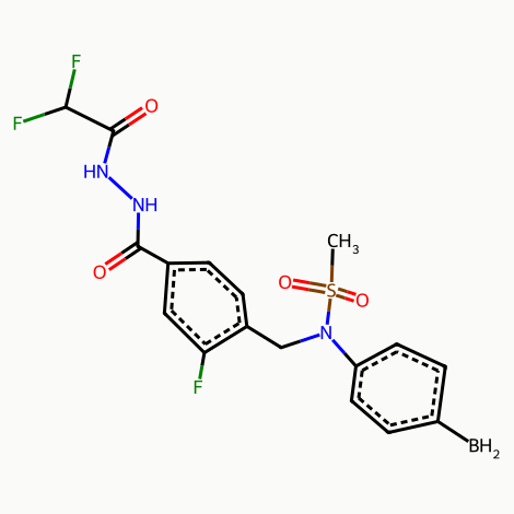 Bc1ccc(N(Cc2ccc(C(=O)NNC(=O)C(F)F)cc2F)S(C)(=O)=O)cc1